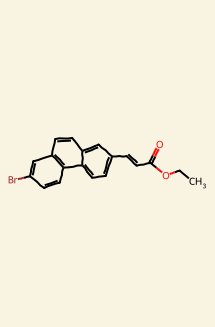 CCOC(=O)C=Cc1ccc2c(ccc3cc(Br)ccc32)c1